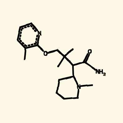 Cc1cccnc1OCC(C)(C)C(C(N)=O)C1CCCCN1C